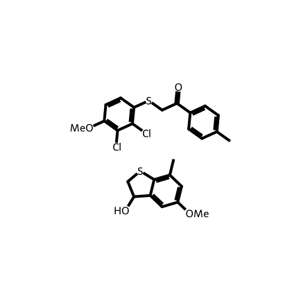 COc1cc(C)c2c(c1)C(O)CS2.COc1ccc(SCC(=O)c2ccc(C)cc2)c(Cl)c1Cl